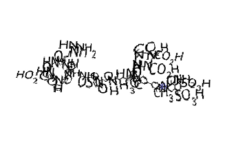 Cc1cc(-c2ccc(NC(=O)[C@@H](CCCCNC(=O)CCN3C(=O)CC(SCC(=O)NCCCC[C@H]4NC(=O)[C@H](Cc5ccccc5)NC(=O)[C@H](CC(=O)O)NC(=O)CNC(=O)[C@H](CCCNC(=N)N)NC4=O)C3=O)NC(=O)CN3CCN(CC(=O)O)CCN(CC(=O)O)CCN(CC(=O)O)CC3)c(C)c2)ccc1/N=N/c1ccc2c(S(=O)(=O)O)cc(S(=O)(=O)O)c(N)c2c1O